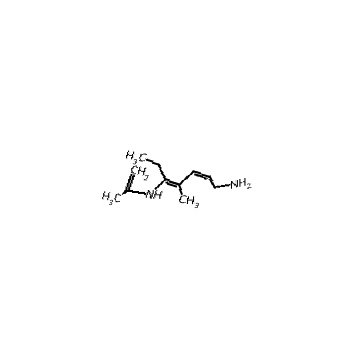 C=C(C)N/C(CC)=C(C)/C=C\CN